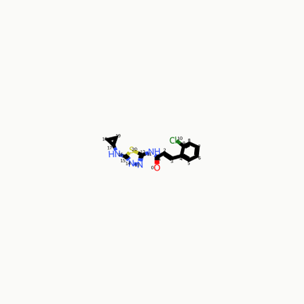 O=C(C=Cc1ccccc1Cl)Nc1nnc(NC2CC2)s1